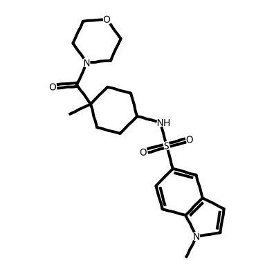 Cn1ccc2cc(S(=O)(=O)NC3CCC(C)(C(=O)N4CCOCC4)CC3)ccc21